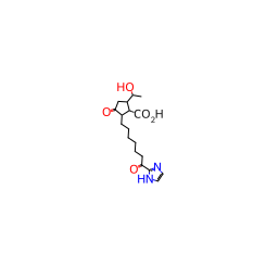 CC(O)C1CC(=O)C(CCCCCCC(=O)c2ncc[nH]2)C1C(=O)O